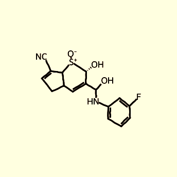 N#CC1=CCC2C=C(C(O)Nc3cccc(F)c3)[C@@H](O)[S+]([O-])C12